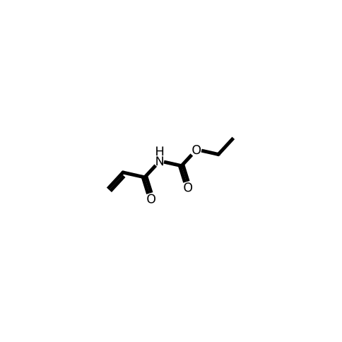 C=CC(=O)NC(=O)OCC